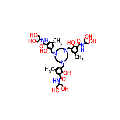 Cc1cc(CN2CCCN(Cc3cc(C)cc(C(=O)NC(CO)CO)c3O)CCCN(Cc3cc(C)cc(C(=O)NC(CO)CO)c3O)CCC2)c(O)c(C(=O)NC(CO)CO)c1